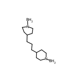 BN1CCC(CCCC2CCN(B)CC2)CC1